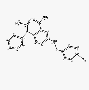 NC(=O)c1cc(NCc2ccc(F)cc2)ccc1C(C(N)=O)c1ccccc1